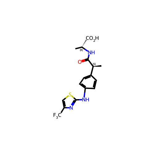 C[C@H](C(=O)N[C@H](C)C(=O)O)c1ccc(Nc2nc(C(F)(F)F)cs2)cc1